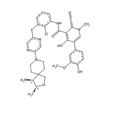 COc1cc(C2=CN(C)C(=C=O)C(C(=O)Nc3cccc(Sc4cnc(N5CCC6(CC5)CO[C@@H](C)[C@H]6N)cn4)c3Cl)=C2O)ccc1O